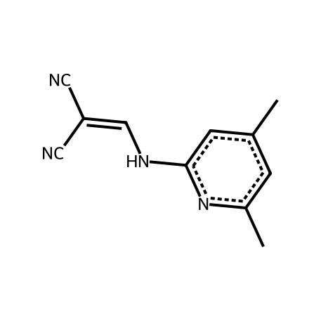 Cc1cc(C)nc(NC=C(C#N)C#N)c1